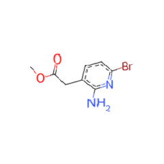 COC(=O)Cc1ccc(Br)nc1N